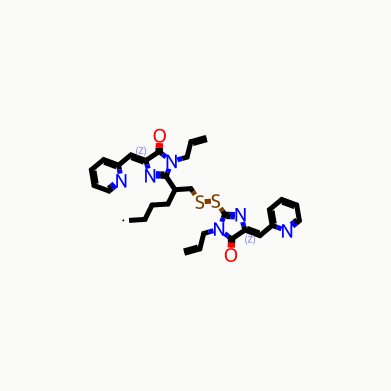 [CH2]CCCC(CSSC1=N/C(=C\c2ccccn2)C(=O)N1CC=C)C1=N/C(=C\c2ccccn2)C(=O)N1CC=C